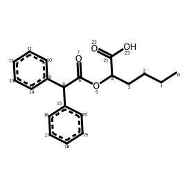 CCCCC(OC(=O)C(c1ccccc1)c1ccccc1)C(=O)O